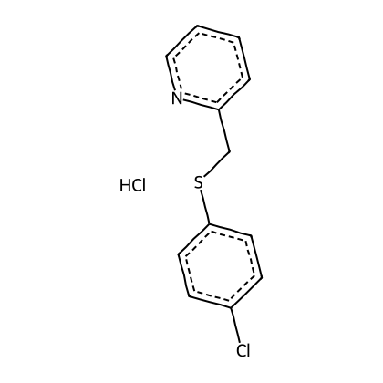 Cl.Clc1ccc(SCc2ccccn2)cc1